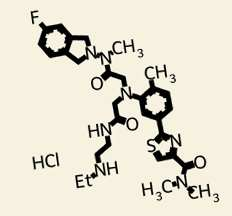 CCNCCNC(=O)CN(CC(=O)N(C)N1Cc2ccc(F)cc2C1)c1cc(-c2nc(C(=O)N(C)C)cs2)ccc1C.Cl